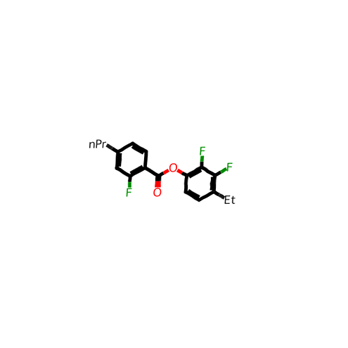 CCCc1ccc(C(=O)Oc2ccc(CC)c(F)c2F)c(F)c1